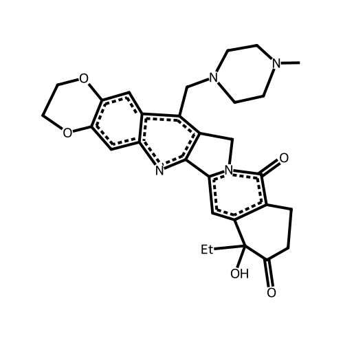 CCC1(O)C(=O)CCc2c1cc1n(c2=O)Cc2c-1nc1cc3c(cc1c2CN1CCN(C)CC1)OCCO3